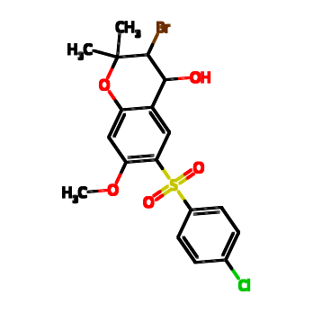 COc1cc2c(cc1S(=O)(=O)c1ccc(Cl)cc1)C(O)C(Br)C(C)(C)O2